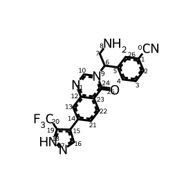 N#Cc1cccc(C(CN)n2cnc3cc(-c4cn[nH]c4C(F)(F)F)ccc3c2=O)c1